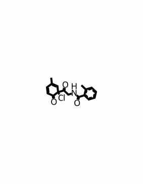 CC1=CC(Cl)(C(=O)CNC(=O)c2ccccc2C)C(=O)C=C1